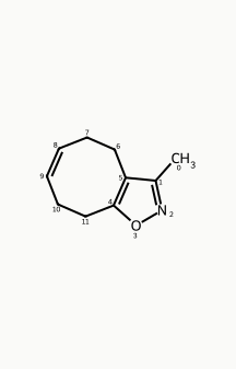 Cc1noc2c1CCC=CCC2